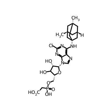 C[C@]12C[C@@H]3C[C@](C)(C1)C[C@@](Nc1nc(Cl)nc4c1ncn4[C@@H]1O[C@H](COP(=O)(O)CC(=O)O)C(O)[C@@H]1O)(C3)C2